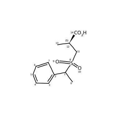 CC(c1ccccc1)S(=O)(=O)C[C@@H](C)C(=O)O